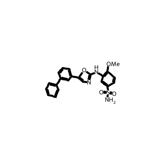 COc1ccc(S(N)(=O)=O)cc1Nc1ncc(-c2cccc(-c3ccccc3)c2)o1